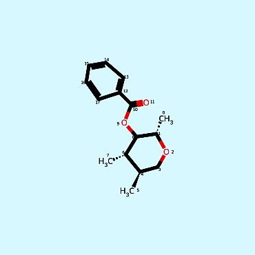 C[C@@H]1OC[C@@H](C)[C@H](C)C1OC(=O)c1ccccc1